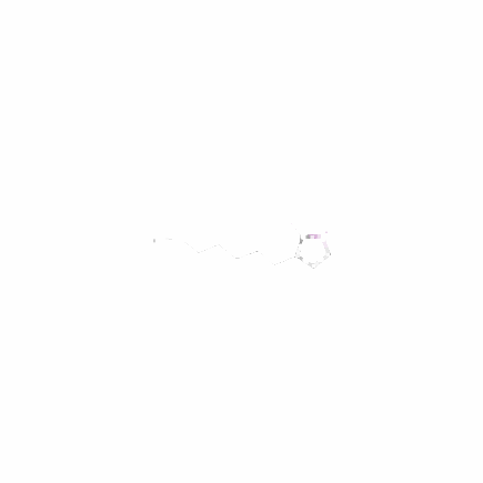 CCCCCCCCCCCCc1cc[pH]c1[P]